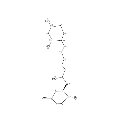 CC(C)[C@@H]1CC[C@@H](C)C[C@H]1OC(O)CCCCCC1CCC(O)C[C@H]1O